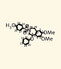 COc1cc2c(cc1OC)C(Oc1ccccc1)CN(S(=O)(=O)c1ccc(C)cc1)CC2